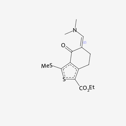 CCOC(=O)c1sc(SC)c2c1CC/C(=C/N(C)C)C2=O